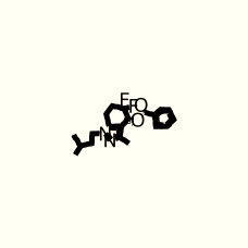 Cc1nn(CCC(C)C)c2c1[C@H](OC(=O)c1ccccc1)C(F)(F)CC2